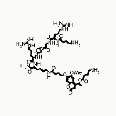 COc1cc2c(C(C)OC(=O)CCCN)cc(=O)oc2cc1OCCCC(=O)NCCCCC(NC(=O)C(CCCNC(=N)N)NC(=O)CNC(=O)CNC(=O)C(CCCNC(=N)N)NC(=O)CCCN)C(N)=O